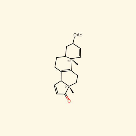 CC(=O)OC1C=C[C@]2(C)C3=C(CCC2C1)C1C=CC(=O)[C@@]1(C)CC3